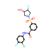 O=C(Nc1ccc(F)c(Cl)c1)c1cccc(S(=O)(=O)N2CC(O)C(F)C2)c1